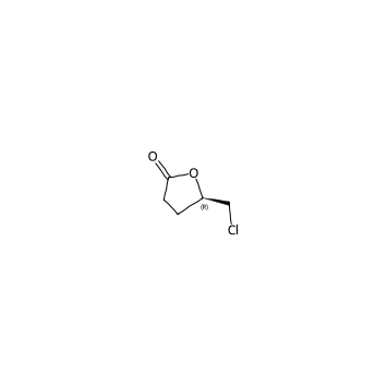 O=C1CC[C@H](CCl)O1